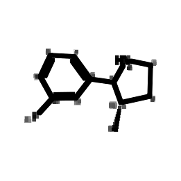 C[C@H]1CCNC1c1cccc(F)c1